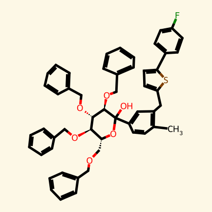 Cc1ccc(C2(O)O[C@H](COCc3ccccc3)[C@@H](OCc3ccccc3)[C@H](OCc3ccccc3)[C@H]2OCc2ccccc2)cc1Cc1ccc(-c2ccc(F)cc2)s1